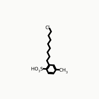 Cc1ccc(S(=O)(=O)O)c(CCCCCCCCCl)c1